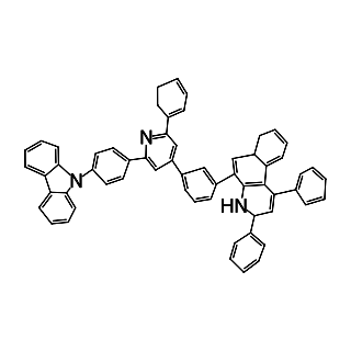 C1=CCCC(c2cc(-c3cccc(C4=CC5CC=CC=C5C5=C4NC(c4ccccc4)C=C5c4ccccc4)c3)cc(-c3ccc(-n4c5ccccc5c5ccccc54)cc3)n2)=C1